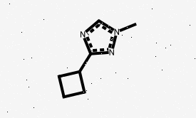 Cn1cnc(C2CCC2)n1